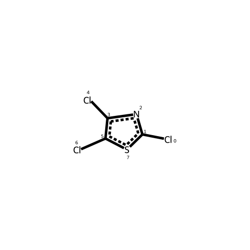 Clc1nc(Cl)c(Cl)s1